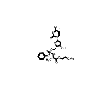 COCCOC(=O)[C@H](C)N[P@](=O)(OC[C@@H]1O[C@H](n2ccc(N)nc2=O)C[C@H]1O)Oc1ccccc1